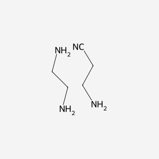 N#CCCN.NCCN